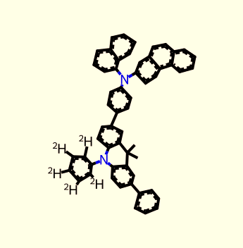 [2H]c1c([2H])c([2H])c(N2c3ccc(-c4ccccc4)cc3C(C)(C)c3cc(-c4ccc(N(c5ccc6c(ccc7ccccc76)c5)c5cccc6ccccc56)cc4)ccc32)c([2H])c1[2H]